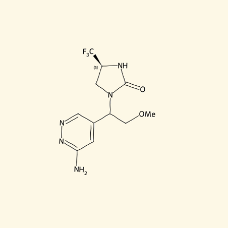 COCC(c1cnnc(N)c1)N1C[C@@H](C(F)(F)F)NC1=O